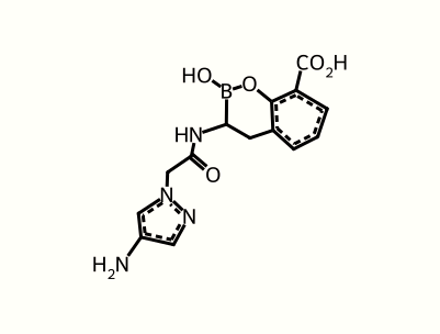 Nc1cnn(CC(=O)NC2Cc3cccc(C(=O)O)c3OB2O)c1